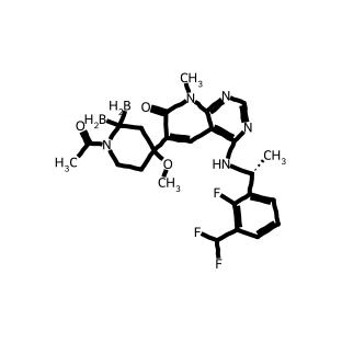 BC1(B)CC(OC)(c2cc3c(N[C@H](C)c4cccc(C(F)F)c4F)ncnc3n(C)c2=O)CCN1C(C)=O